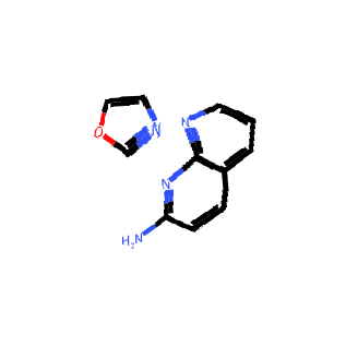 Nc1ccc2cccnc2n1.c1cocn1